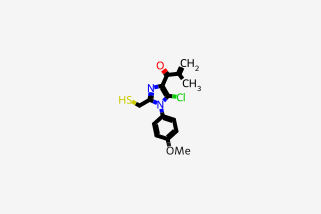 C=C(C)C(=O)c1nc(CS)n(-c2ccc(OC)cc2)c1Cl